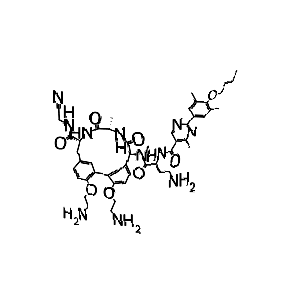 CCCCOc1c(C)cc(-c2ncc(C(=O)N[C@@H](CCN)C(=O)N(C)[C@@H]3C(=O)N[C@@H](C)C(=O)N[C@H](C(=O)NCC#N)Cc4ccc(OCCN)c(c4)-c4cc3ccc4OCCN)c(C)n2)cc1C